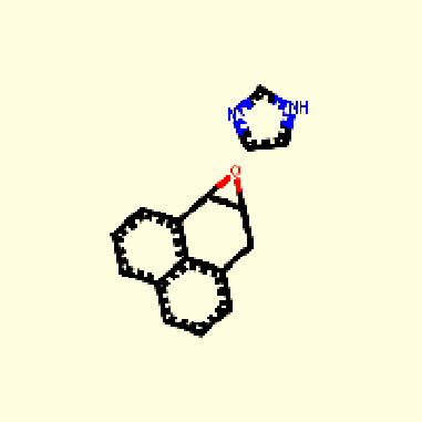 c1c[nH]cn1.c1cc2c3c(cccc3c1)C1OC1C2